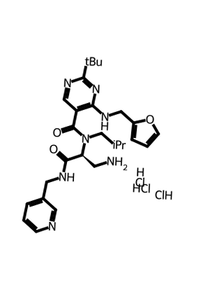 CC(C)CN(C(=O)c1cnc(C(C)(C)C)nc1NCc1ccco1)[C@@H](CN)C(=O)NCc1cccnc1.Cl.Cl.Cl